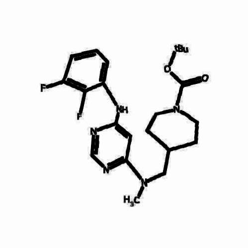 CN(CC1CCN(C(=O)OC(C)(C)C)CC1)c1cc(Nc2cccc(F)c2F)ncn1